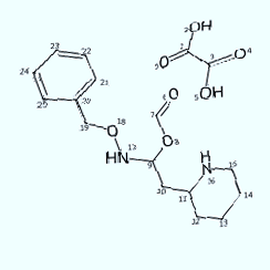 O=C(O)C(=O)O.O=COC(CC1CCCCN1)NOCc1ccccc1